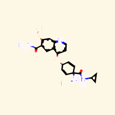 CNC1(C(=O)NC2CC2)C=CC(Oc2ccnc3cc(OC)c(C(N)=O)cc23)C=C1